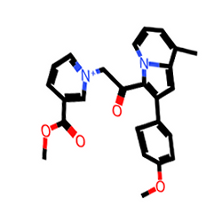 COC(=O)c1ccc[n+](CC(=O)c2c(-c3ccc(OC)cc3)cc3c(C)cccn23)c1